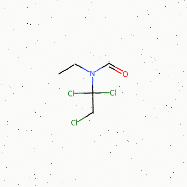 CCN([C]=O)C(Cl)(Cl)CCl